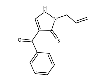 C=CCn1[nH]cc(C(=O)c2ccccc2)c1=S